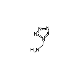 NCn1cnnn1